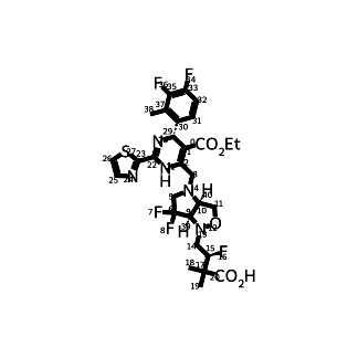 CCOC(=O)C1=C(CN2CC(F)(F)[C@H]3[C@@H]2CON3C[C@@H](F)C(C)(C)C(=O)O)NC(c2nccs2)=N[C@@H]1c1ccc(F)c(F)c1C